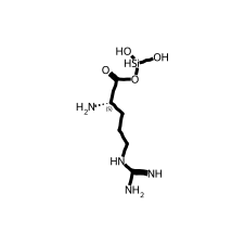 N=C(N)NCCC[C@H](N)C(=O)O[SiH](O)O